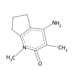 Cc1c(N)c2c(n(C)c1=O)CCC2